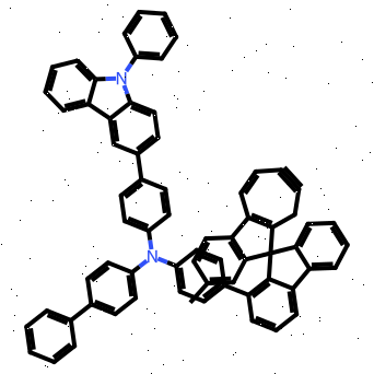 Cc1ccc2c(c1)C1(C3=C2C=CC#CC3)c2ccccc2-c2cccc(-c3ccc(N(c4ccc(-c5ccccc5)cc4)c4ccc(-c5ccc6c(c5)c5ccccc5n6-c5ccccc5)cc4)cc3)c21